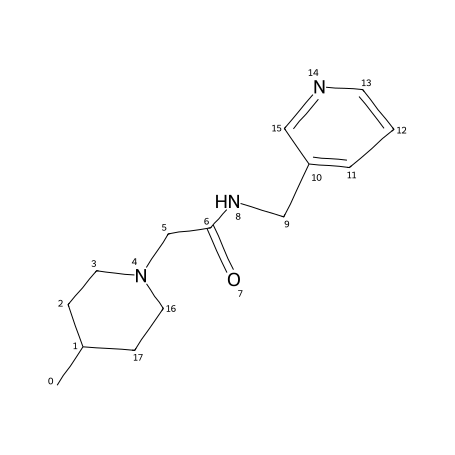 CC1CCN(CC(=O)NCc2cccnc2)CC1